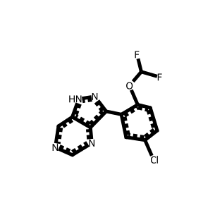 FC(F)Oc1ccc(Cl)cc1-c1n[nH]c2cncnc12